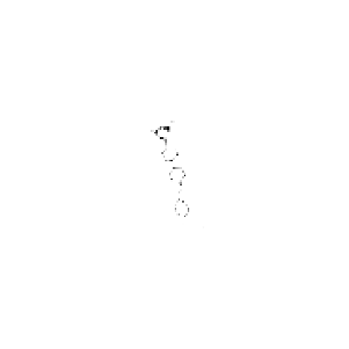 CC1CCC(CCC2CCC(C3CCC(c4cc(F)c(F)c(F)c4)CC3)CC2)CC1